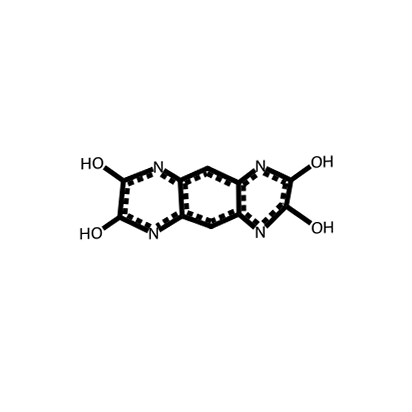 Oc1nc2cc3nc(O)c(O)nc3cc2nc1O